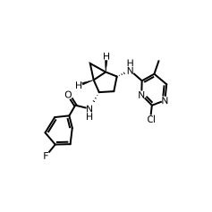 Cc1cnc(Cl)nc1N[C@@H]1C[C@H](NC(=O)c2ccc(F)cc2)[C@@H]2C[C@@H]21